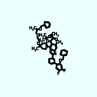 COC(=O)C(OC(C)(C)C)c1c(C)cc2nc(-c3cccc(-c4cc(F)c(F)cc4OCc4ccccc4)c3)cn2c1N1CCC(C)(OCCOC[C@@H](C)OCc2ccccc2)CC1